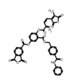 C=C(/C=C\C1=C(C)C(=O)OC1=O)C(=O)Oc1ccc(OC(=O)c2ccc3c(c2)C(=O)OC3=O)cc1C(=O)OCc1ccc(C(=O)Nc2ccccc2)cc1